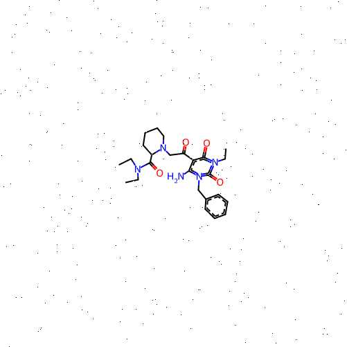 CCN(CC)C(=O)C1CCCCN1CC(=O)c1c(N)n(Cc2ccccc2)c(=O)n(CC)c1=O